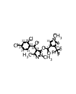 Cc1nn(C)c(OC(=O)c2cn(C)nc2C(F)(F)F)c1C(=O)c1ccc(Cl)cc1Cl